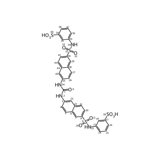 O=C(Nc1ccc2cc(S(=O)(=O)Nc3cccc(S(=O)(=O)O)c3)ccc2c1)Nc1ccc2cc(S(=O)(=O)Nc3cccc(S(=O)(=O)O)c3)ccc2c1